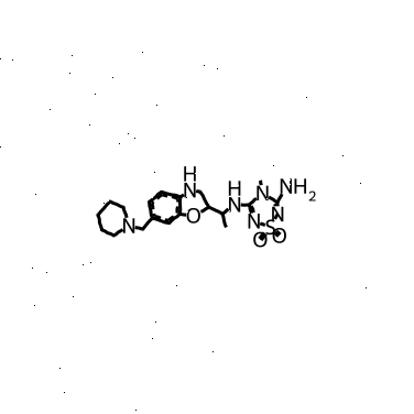 CC(NC1=NS(=O)(=O)N=C(N)N1C)C1CNc2ccc(CN3CCCCC3)cc2O1